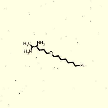 CC(C)CCCCCCCOCCCC(N)C(C)N